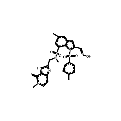 Cc1ccc(S(=O)(=O)n2c(C=NO)cc3cc(C)cc(S(=O)(=O)N(C)Cc4nc5ccn(C)c(=O)c5[nH]4)c32)cc1